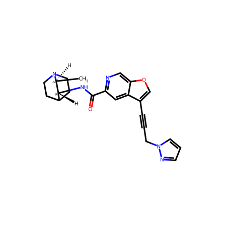 C[C@H]1[C@H](NC(=O)c2cc3c(C#CCn4cccn4)coc3cn2)C2CCN1CC2